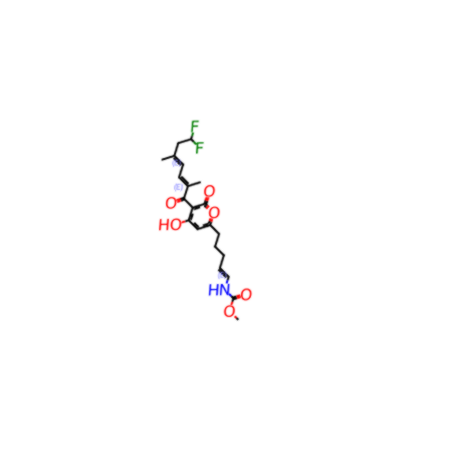 COC(=O)N/C=C/CCCc1cc(O)c(C(=O)/C(C)=C/C=C(\C)CC(F)F)c(=O)o1